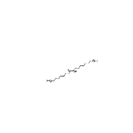 OCCCCCCC[Se][Se]CCCCCCCO